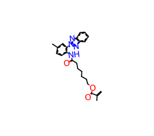 C=C(C)C(=O)OCCCCCCC(=O)Nc1ccc(C)cc1-n1nc2ccccc2n1